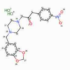 Cl.Cl.O=C(Cc1ccc([N+](=O)[O-])cc1)CN1CCN(Cc2ccc3c(c2)OCO3)CC1